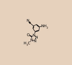 Cn1nnn(-c2cc(N)cc(C#N)c2)c1=O